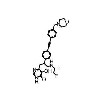 C[C@H](CF)NCC(Cc1nc[nH]c(=O)c1O)c1ccc(C#Cc2ccc(CN3CCOCC3)cc2)cc1